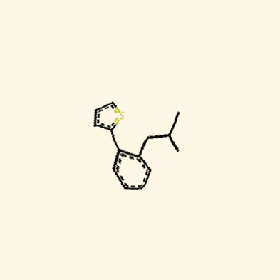 CC(C)Cc1ccccc1-c1cccs1